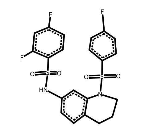 O=S(=O)(Nc1ccc2c(c1)N(S(=O)(=O)c1ccc(F)cc1)CCC2)c1ccc(F)cc1F